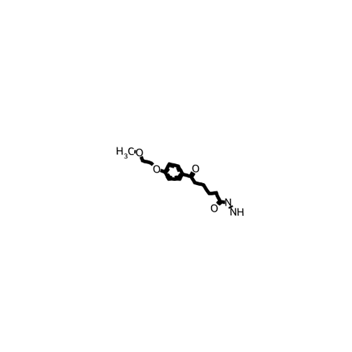 COCCOc1ccc(C(=O)CCCCC(=O)N=N)cc1